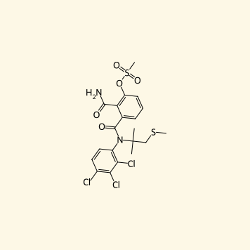 CSCC(C)(C)N(C(=O)c1cccc(OS(C)(=O)=O)c1C(N)=O)c1ccc(Cl)c(Cl)c1Cl